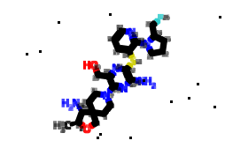 C[C@@H]1OCC2(CCN(c3nc(N)c(Sc4cccnc4N4CCCC4CF)nc3CO)CC2)[C@@H]1N